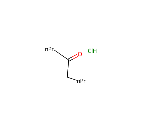 CCCCC(=O)CCC.Cl